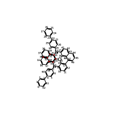 c1ccc(-c2ccc(N(c3cccc4c3Oc3c(N(c5ccc(-c6ccccc6)cc5)c5cccc6ccccc56)ccc5cccc-4c35)c3cccc4ccccc34)cc2)cc1